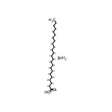 CCCCCCCCCCCCCCCCCCCCCCCC(=O)O.[SnH2]